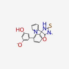 COc1cc(O)cc(-c2cccc(C3(c4ccccn4)NC(=S)N(C)C3=O)c2)c1